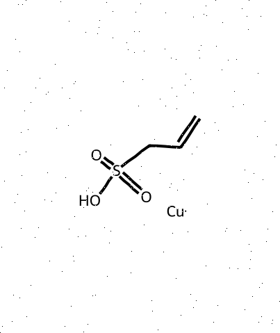 C=CCS(=O)(=O)O.[Cu]